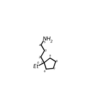 CCC1(CCCN)CCCC1